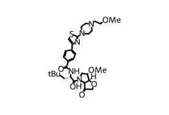 COCCN1CCN(c2nc(-c3ccc(C(=O)N[C@@H](CC(C)(C)C)C(=O)N4C[C@@H](OC)[C@H]5OCC(=O)[C@H]54)cc3)cs2)CC1